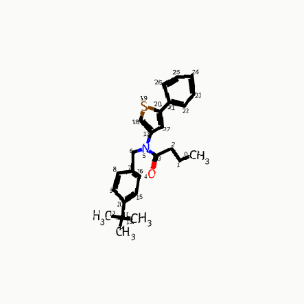 CCCC(=O)N(Cc1ccc(C(C)(C)C)cc1)c1csc(-c2ccccc2)c1